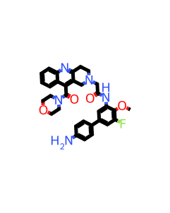 COc1c(F)cc(-c2ccc(N)cc2)cc1NC(=O)CN1CCc2nc3ccccc3c(C(=O)N3CCOCC3)c2C1